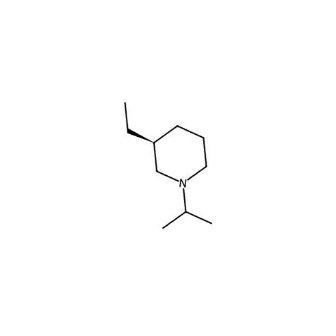 CC[C@H]1CCCN(C(C)C)C1